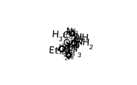 CCC1CC[C@H](NC(=O)c2cnc(N)c(C(=N)c3ccnc(C)c3)c2)[C@@H](c2ccccc2C(F)(F)F)C1